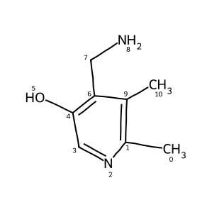 Cc1ncc(O)c(CN)c1C